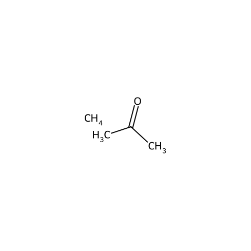 C.CC(C)=O